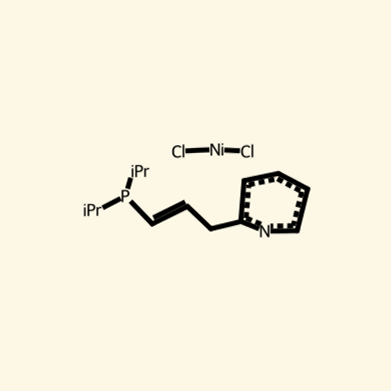 CC(C)P(C=CCc1ccccn1)C(C)C.[Cl][Ni][Cl]